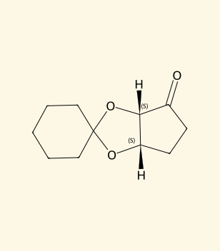 O=C1CC[C@@H]2OC3(CCCCC3)O[C@H]12